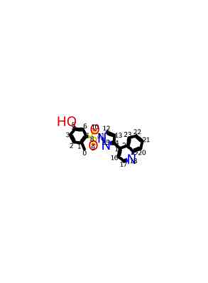 Cc1ccc(O)cc1S(=O)(=O)n1ccc(-c2ccnc3ccccc23)n1